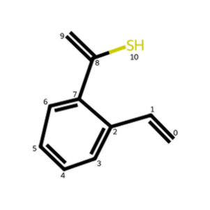 C=Cc1ccccc1C(=C)S